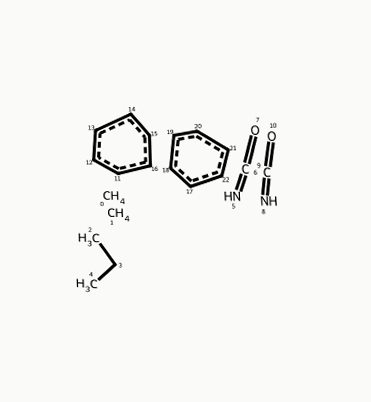 C.C.CCC.N=C=O.N=C=O.c1ccccc1.c1ccccc1